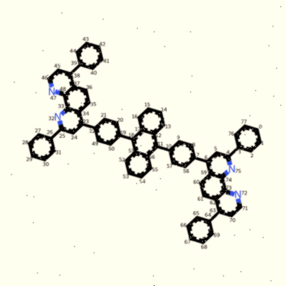 c1ccc(-c2cc(-c3ccc(-c4c5ccccc5c(-c5ccc(-c6cc(-c7ccccc7)nc7c6ccc6c(-c8ccccc8)ccnc67)cc5)c5ccccc45)cc3)c3ccc4c(-c5ccccc5)ccnc4c3n2)cc1